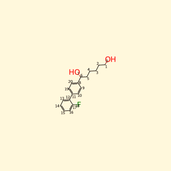 OCCCCCC(O)c1ccc(-c2ccccc2F)cc1